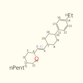 CCCCCC1CCC(/C=C/C2CCC(c3ccc(CC)cc3)CC2)OC1